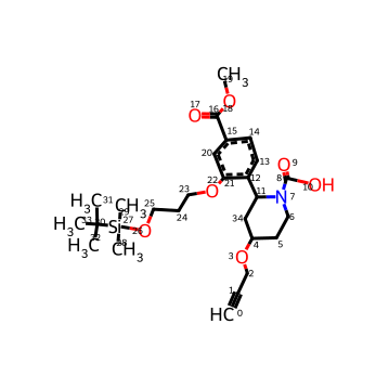 C#CCOC1CCN(C(=O)O)C(c2ccc(C(=O)OC)cc2OCCCO[Si](C)(C)C(C)(C)C)C1